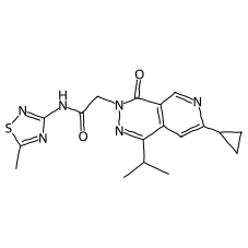 Cc1nc(NC(=O)Cn2nc(C(C)C)c3cc(C4CC4)ncc3c2=O)ns1